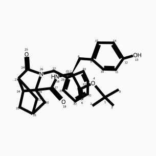 CC(C)(C)OC(=O)[C@H](Cc1ccc(O)cc1)NC(=O)C12CC3CC(C(=O)N1Cc1ccccc1)C2C3